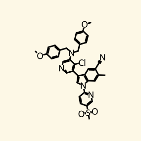 COc1ccc(CN(Cc2ccc(OC)cc2)c2cncc(-c3cn(-c4ccc(S(C)(=O)=O)cn4)c4cc(C)c(C#N)cc34)c2Cl)cc1